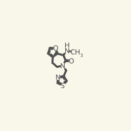 CNC1C(=O)N(Cc2cscn2)CCc2ccoc21